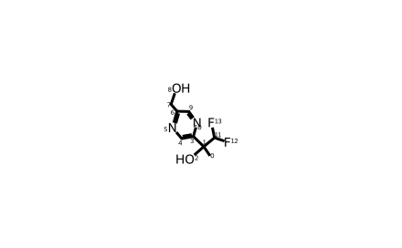 CC(O)(c1cnc(CO)cn1)C(F)F